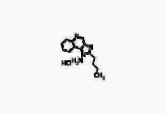 CCCCc1nc2cnc3ccccc3c2n1N.Cl